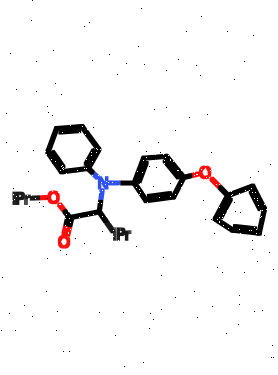 CC(C)OC(=O)C(C(C)C)N(c1ccccc1)c1ccc(Oc2ccccc2)cc1